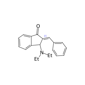 CCN(CC)C1/C(=C\c2ccccc2)C(=O)c2ccccc21